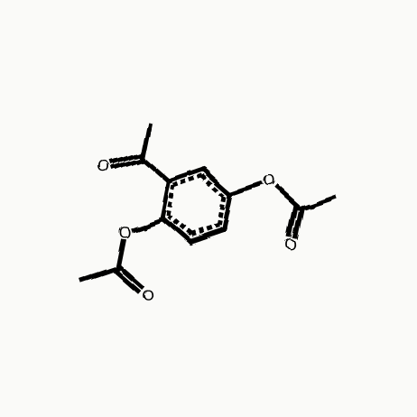 CC(=O)Oc1ccc(OC(C)=O)c(C(C)=O)c1